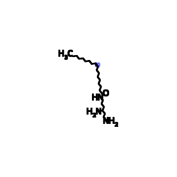 CCCCCCCC/C=C\CCCCCCCC(=O)NCCCC(N)CCN